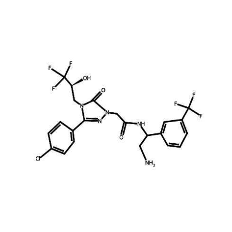 NCC(NC(=O)Cn1nc(-c2ccc(Cl)cc2)n(C[C@H](O)C(F)(F)F)c1=O)c1cccc(C(F)(F)F)c1